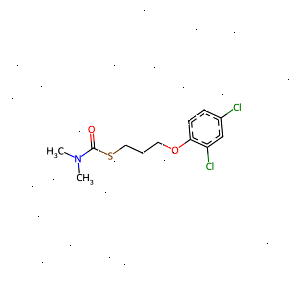 CN(C)C(=O)SCCCOc1ccc(Cl)cc1Cl